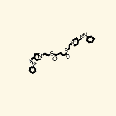 CN(/N=C\c1cc[n+](CCSC(=O)CCC(=O)SCC[n+]2ccc(/C=N/N(C)c3ccccc3)cc2)cc1)c1ccccc1